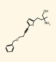 CC(N)(CO)CCc1ccc(C#CCCOCc2ccccc2)s1